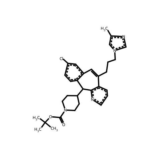 Cc1cn(CCCC2=Cc3cc(Cl)ccc3C(C3CCN(C(=O)OC(C)(C)C)CC3)c3ncccc32)cn1